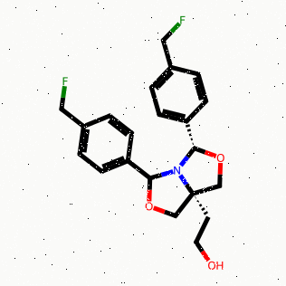 OCC[C@]12COC(c3ccc(CF)cc3)N1[C@H](c1ccc(CF)cc1)OC2